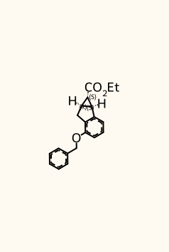 CCOC(=O)[C@H]1[C@@H]2Cc3c(OCc4ccccc4)cccc3[C@@H]21